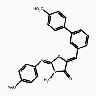 COc1ccc(/N=C2/S/C(=C\c3cccc(-c4ccc(C(=O)O)cc4)c3)C(=O)N2C)cc1